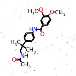 COc1ccc(C(=O)Nc2ccc(C(C)(C)CNC(C)=O)cc2)cc1OC